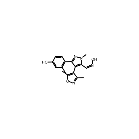 Cc1cc(O)ccc1-c1nn(C)c(/C=N\O)c1-c1c(C)noc1C